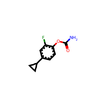 NC(=O)Oc1ccc(C2CC2)cc1F